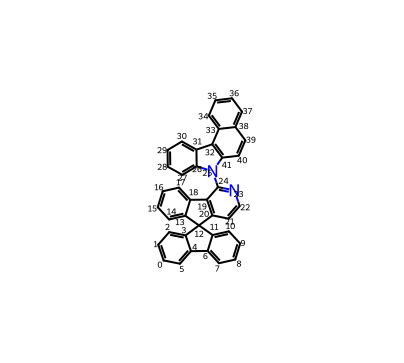 c1ccc2c(c1)-c1ccccc1C21c2ccccc2-c2c1ccnc2-n1c2ccccc2c2c3ccccc3ccc21